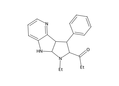 CCC(=O)C1C(c2ccccc2)C2c3ncccc3NC2N1CC